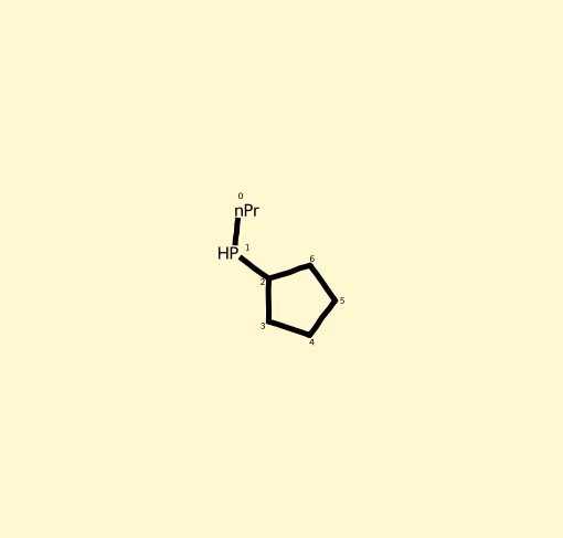 CCCPC1CCCC1